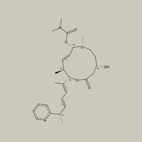 C/C(=C\C=C\[C@H](C)c1ccccn1)[C@H]1OC(=O)C[C@@H](O)CC[C@@H](C)[C@@H](OC(=O)N(C)C)/C=C/[C@@H]1C